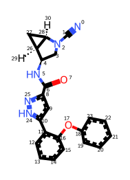 N#CN1C[C@@H](NC(=O)c2cc(-c3ccccc3Oc3ccccc3)[nH]n2)[C@H]2C[C@H]21